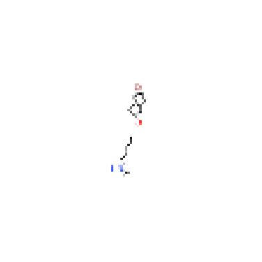 CC(C)NCCCCCCCCOc1ccc2cc(Br)ccc2c1